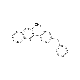 Cc1cc2ccccc2nc1-c1ccc(Cc2ccccc2)cc1